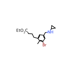 CCOC(=O)CCCc1cc(CNC2CC2)cc(Br)c1C